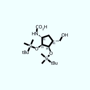 CC(C)(C)[Si](C)(C)O[C@@H]1[C@@H](CO)C[C@@H](NC(=O)O)[C@@H]1O[Si](C)(C)C(C)(C)C